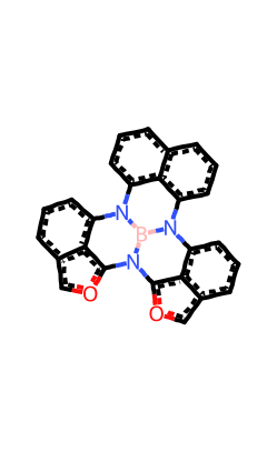 c1cc2c3c(cccc3c1)N1B3N2c2cccc4coc(c24)N3c2occ3cccc1c23